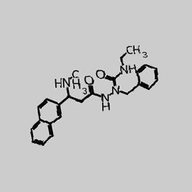 CCNC(=O)N(Cc1ccccc1)NC(=O)CC(NC)c1ccc2ccccc2c1